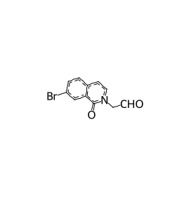 O=CCn1ccc2ccc(Br)cc2c1=O